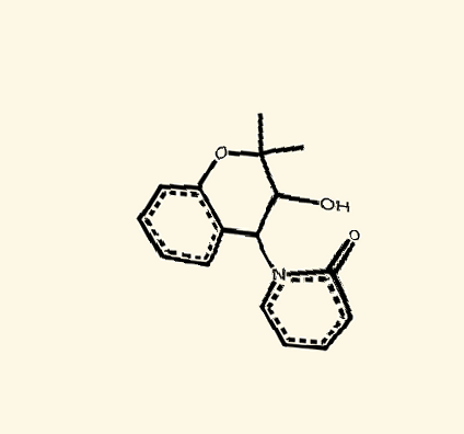 CC1(C)Oc2ccccc2C(n2ccccc2=O)C1O